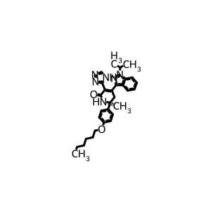 CCCCCCOc1ccc([C@]2(C)CC(c3nn(C(C)C)c4ccccc34)=C(c3nnc[nH]3)C(=O)N2)cc1